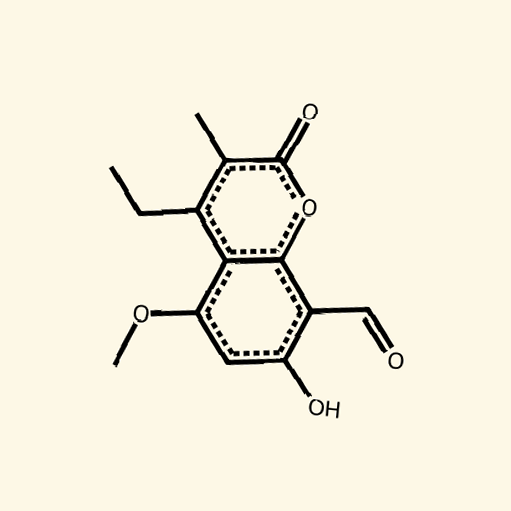 CCc1c(C)c(=O)oc2c(C=O)c(O)cc(OC)c12